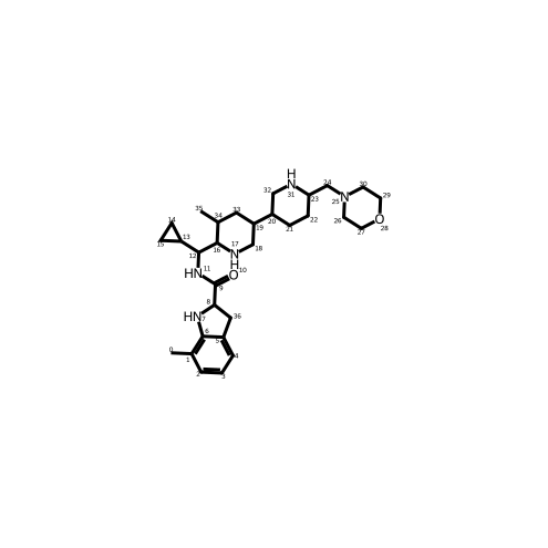 Cc1cccc2c1NC(C(=O)NC(C1CC1)C1NCC(C3CCC(CN4CCOCC4)NC3)CC1C)C2